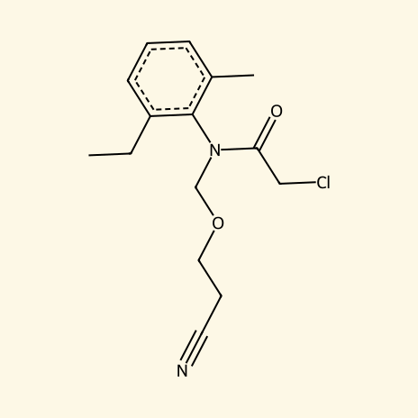 CCc1cccc(C)c1N(COCCC#N)C(=O)CCl